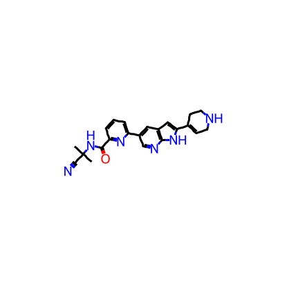 CC(C)(C#N)NC(=O)c1cccc(-c2cnc3[nH]c(C4=CCNCC4)cc3c2)n1